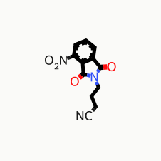 N#CCCCN1C(=O)c2cccc([N+](=O)[O-])c2C1=O